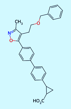 Cc1noc(-c2ccc(-c3ccc(C4CC4C(=O)O)cc3)cc2)c1CCOCc1ccccc1